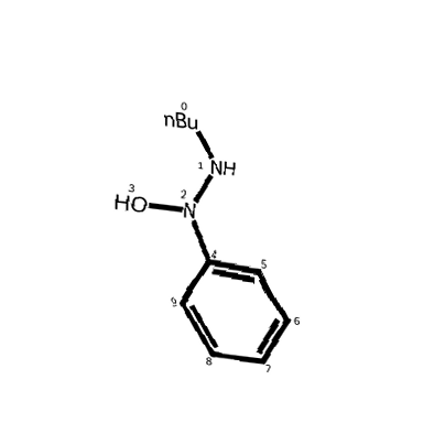 CCCCNN(O)c1ccccc1